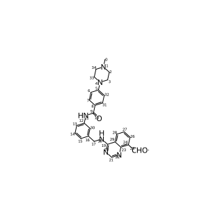 CN1CCN(c2ccc(C(=O)Nc3cccc(CNc4ncnc5c([C]=O)cccc45)c3)cc2)CC1